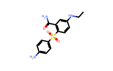 CCNc1ccc(S(=O)(=O)c2ccc(N)cc2)c(C(N)=O)c1